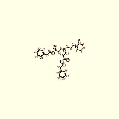 CC1CCCCN1CCCN(CCC(=O)OCCc1ccccc1)CCC(=O)OCCc1ccccc1